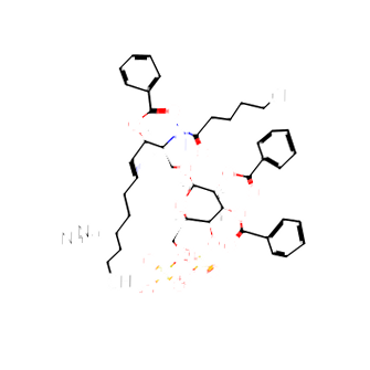 CCCCCC/C=C/[C@@H](OC(=O)c1ccccc1)[C@H](CO[C@@H]1O[C@H](COS(=O)(=O)[O-])[C@H](OS(=O)(=O)[O-])[C@H](OC(=O)c2ccccc2)[C@H]1OC(=O)c1ccccc1)NC(=O)CCCCC.[Na+].[Na+]